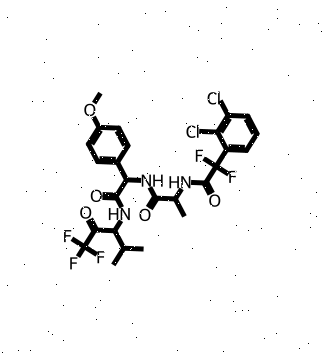 COc1ccc(C(NC(=O)C(C)NC(=O)C(F)(F)c2cccc(Cl)c2Cl)C(=O)NC(C(=O)C(F)(F)F)C(C)C)cc1